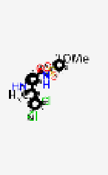 COc1ccc(S(=O)(=O)NC(=O)c2ccc3[nH]c(C)c(Cc4ccc(Cl)cc4Cl)c3c2)cc1